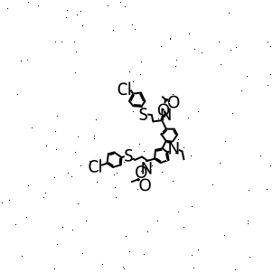 CCn1c2ccc(/C(CCSc3ccc(Cl)cc3)=N/OC(C)=O)cc2c2cc(/C(CCSc3ccc(Cl)cc3)=N/OC(C)=O)ccc21